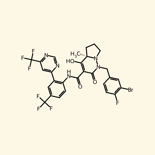 C[C@]12CCCN1N(Cc1ccc(F)c(Br)c1)C(=O)C(C(=O)Nc1ccc(C(F)(F)F)cc1-c1cc(C(F)(F)F)ncn1)=C2O